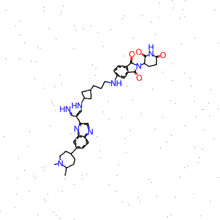 CC1CCC(c2ccc3ncc(/C(C=N)=C/NC4CC(CCCNc5ccc6c(c5)C(=O)N(C5CCC(=O)NC5=O)C6=O)C4)nc3c2)CCN1C